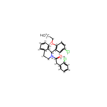 O=C(O)COc1ccc(Cl)cc1C1c2ccccc2CCN1C(=O)Cc1ccccc1Cl